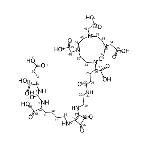 O=C(O)CCC(NC(O)NC(CCCCNc1c(NCCNC(=O)CCC(C(=O)O)N2CCN(CC(=O)O)CCN(CC(=O)O)CCN(CC(=O)O)CC2)c(=O)c1=O)C(=O)O)C(=O)O